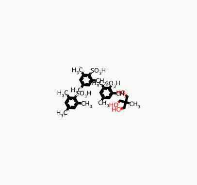 CC(CO)(CO)CO.Cc1cc(C)c(S(=O)(=O)O)c(C)c1.Cc1cc(C)c(S(=O)(=O)O)c(C)c1.Cc1cc(C)c(S(=O)(=O)O)c(C)c1